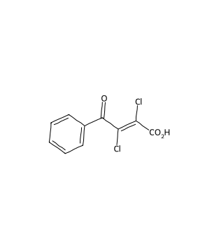 O=C(O)C(Cl)=C(Cl)C(=O)c1ccccc1